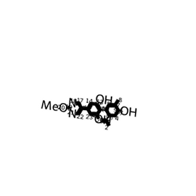 C=C(C)[C@@H]1C[C@H](O)C(C)=C[C@H]1c1c(O)cc(-c2cnc(OC)nc2)cc1O